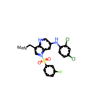 CNCc1cn(S(=O)(=O)c2cccc(F)c2)c2cc(Nc3ccc(Cl)cc3Cl)cnc12